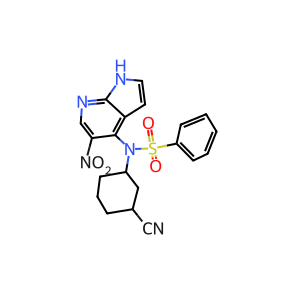 N#CC1CCCC(N(c2c([N+](=O)[O-])cnc3[nH]ccc23)S(=O)(=O)c2ccccc2)C1